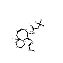 COC(=O)[C@@H]1CCC[C@@H]2CC=CC[C@H](NC(=O)OC(C)(C)C)C(=O)N21